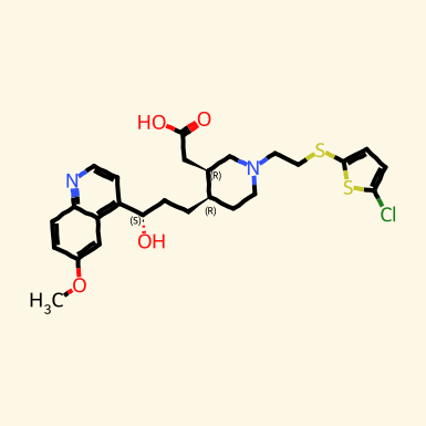 COc1ccc2nccc([C@@H](O)CC[C@@H]3CCN(CCSc4ccc(Cl)s4)C[C@@H]3CC(=O)O)c2c1